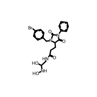 O=C(CCC1C(=O)N(c2ccccc2)C(=O)N1Cc1ccc(Br)cc1)NCC(O)NO